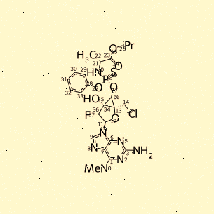 CNc1nc(N)nc2c1ncn2[C@@H]1O[C@]2(CCl)C(OP(=S)(N[C@H](C)C(=O)OC(C)C)Oc3ccccc3)[C@]2(O)[C@H]1F